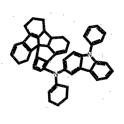 C1=CC2=C(CC1)C13C4=C2CCCC4C2CCC=C(c4c(N(C5=CCCCC5)c5ccc6c(c5)c5ccccc5n6-c5ccccc5)cccc41)C23